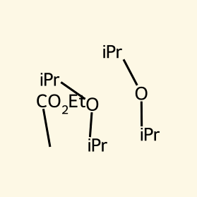 CC(C)OC(C)C.CC(C)OC(C)C.CCOC(C)=O